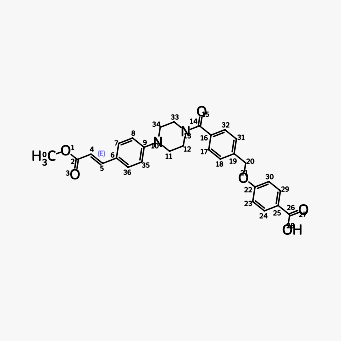 COC(=O)/C=C/c1ccc(N2CCN(C(=O)c3ccc(COc4ccc(C(=O)O)cc4)cc3)CC2)cc1